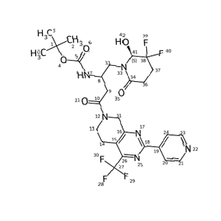 CC(C)(C)OC(=O)NC(CC(=O)N1CCc2c(nc(-c3ccncc3)nc2C(F)(F)F)C1)CN1C(=O)CCC(F)(F)[C@@H]1O